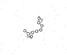 CC1CC(c2ccccc2)=Cc2c1c1ccccc1c1cc(-c3ccc(-c4cccc(C5C=CC=C(c6cccc7c6CCOc6cnccc6-7)C5)c4)cc3)ccc21